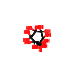 OC1(O)C(O)(O)C(O)(O)[Se](O)(O)(O)(O)C(O)(O)C1(O)O